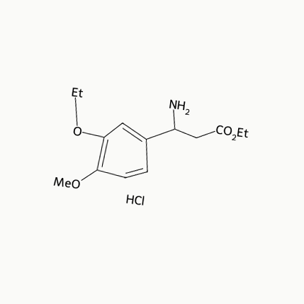 CCOC(=O)CC(N)c1ccc(OC)c(OCC)c1.Cl